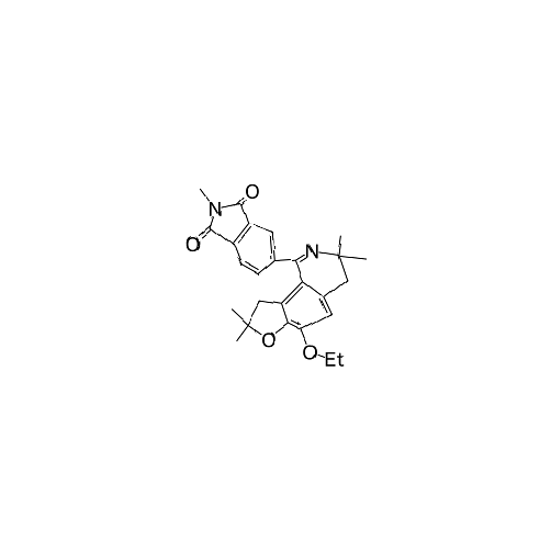 CCOc1cc2c(c3c1OC(C)(C)C3)C(c1ccc3c(c1)C(=O)N(C)C3=O)=NC(C)(C)C2